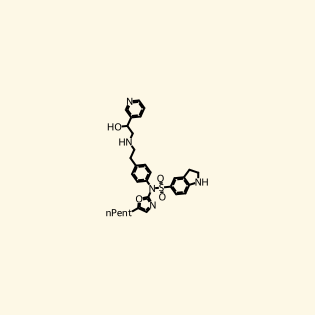 CCCCCc1cnc(N(c2ccc(CCNCC(O)c3cccnc3)cc2)S(=O)(=O)c2ccc3c(c2)CCN3)o1